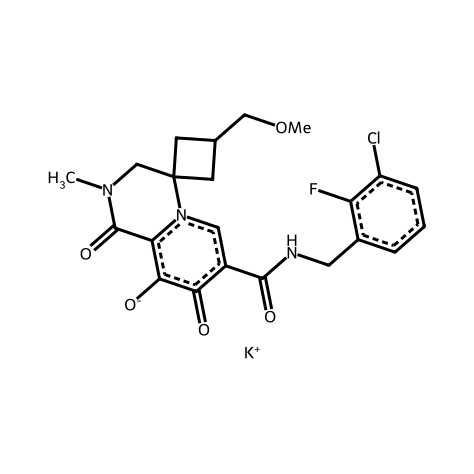 COCC1CC2(C1)CN(C)C(=O)c1c([O-])c(=O)c(C(=O)NCc3cccc(Cl)c3F)cn12.[K+]